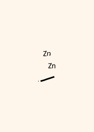 [CH2]C.[Zn].[Zn]